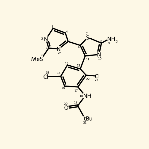 CSc1nccc(-c2sc(N)nc2-c2cc(Cl)cc(NC(=O)C(C)(C)C)c2Cl)n1